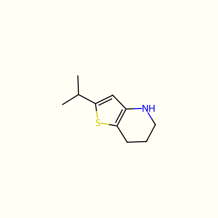 CC(C)c1cc2c(s1)CCCN2